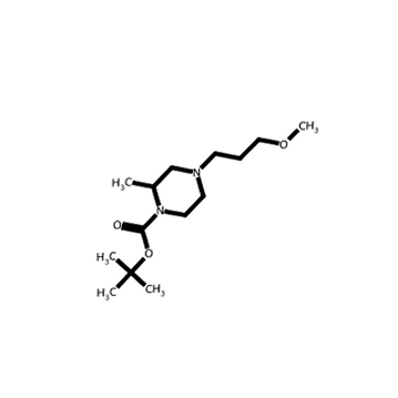 COCCCN1CCN(C(=O)OC(C)(C)C)C(C)C1